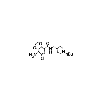 CCCCN1CCC(CNC(=O)c2cc(Cl)c(N)c3c2OCCO3)CC1